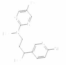 CC(CCN(C)c1ncc(C(C)(C)C)cn1)c1ccc(N)nc1